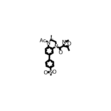 CC(=O)N1c2ccc(-c3ccc(S(C)(=O)=O)cc3)cc2N(C(=O)c2ncoc2C)C[C@@H]1C